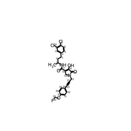 CC(CCc1ccc(Cl)c(Cl)c1)NC(=O)C1=C(O)C(=O)N(CC#Cc2ccc(OCF)cc2)C1